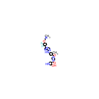 C/N=C/COc1ccc(-c2cnc3c(Nc4ccc(C(=O)N5CCN(C(=O)[C@H]6CCNC[C@@H]6O)CC5)c(C)c4)nccn23)c(F)c1F